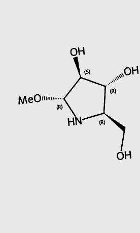 CO[C@H]1N[C@H](CO)[C@@H](O)[C@@H]1O